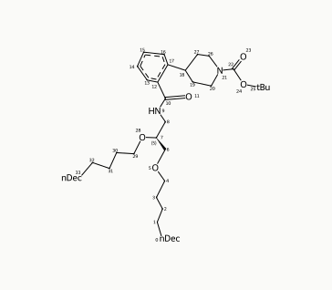 CCCCCCCCCCCCCCOC[C@H](CNC(=O)c1ccccc1C1CCN(C(=O)OC(C)(C)C)CC1)OCCCCCCCCCCCCCC